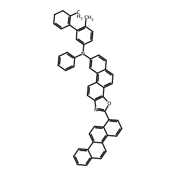 CC1=C(c2cc(N(c3ccccc3)c3ccc4ccc5c(ccc6nc(-c7cccc8c7ccc7c9ccccc9ccc87)oc65)c4c3)ccc2C)C=CCC1